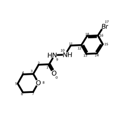 O=C(CC1CCCCO1)NNCc1cccc(Br)c1